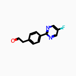 O=CCc1ccc(-c2ncc(F)cn2)cc1